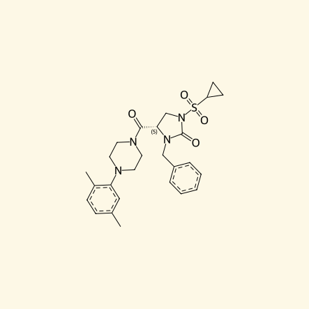 Cc1ccc(C)c(N2CCN(C(=O)[C@@H]3CN(S(=O)(=O)C4CC4)C(=O)N3Cc3ccccc3)CC2)c1